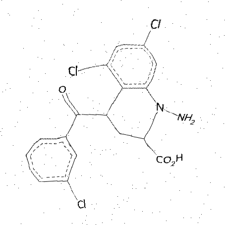 NN1c2cc(Cl)cc(Cl)c2C(C(=O)c2cccc(Cl)c2)CC1C(=O)O